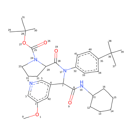 COc1cncc(C(C(=O)NC2CCCCC2)N(C(=O)C2CCCN2C(=O)OC(C)(C)C)c2ccc(C(C)(C)C)cc2)c1